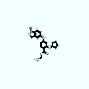 CCOC(=O)c1ccc(Oc2ccc3c(c2)COB3O)cc1OC1CCCC1